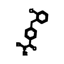 CCN(CC)C(=O)c1ccc(Cc2ccccc2Cl)cc1